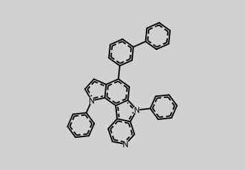 c1ccc(-c2cccc(-c3cc4c(c5ccncc5n4-c4ccccc4)c4c3ccn4-c3ccccc3)c2)cc1